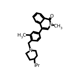 Cc1cc(-c2cn(C)c(=O)c3ccccc23)ccc1CN1CCC(C(C)C)CC1